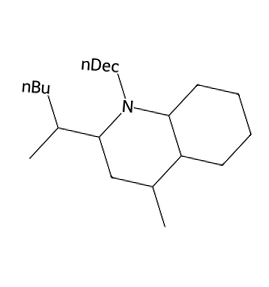 CCCCCCCCCCN1C(C(C)CCCC)CC(C)C2CCCCC21